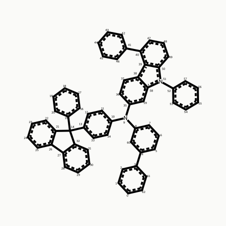 c1ccc(-c2cccc(N(c3ccc(C4(c5ccccc5)c5ccccc5-c5ccccc54)cc3)c3ccc4c5c(-c6ccccc6)cccc5n(-c5ccccc5)c4c3)c2)cc1